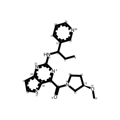 CCC(Nc1nc(C(=O)N2CC[C@@H](OC)C2)c2sccc2n1)c1cccnc1